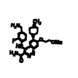 COCCOc1cc2nnc(C(N)=O)c(Nc3ccc(CN)cc3F)c2cc1N1CCN(C)CC1